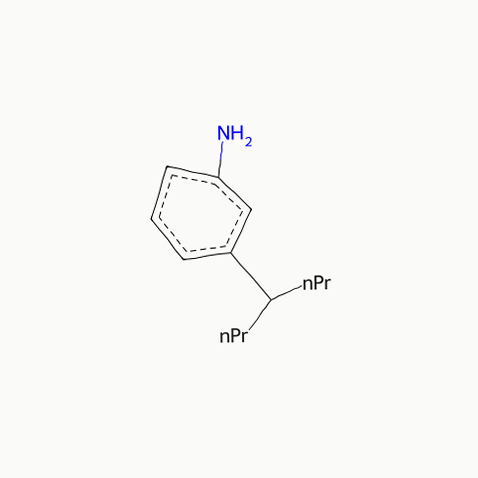 CCCC(CCC)c1cccc(N)c1